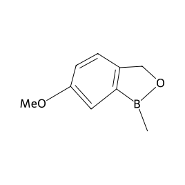 COc1ccc2c(c1)B(C)OC2